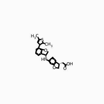 CC1=CC(c2cccc3c2OC[C@H]3Nc2ccc3c(c2)OC[C@H]3CC(=O)O)C(C)S1